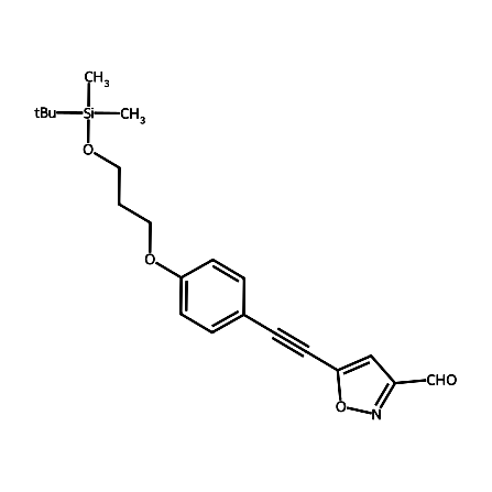 CC(C)(C)[Si](C)(C)OCCCOc1ccc(C#Cc2cc(C=O)no2)cc1